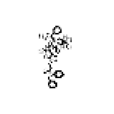 CCCC(NC(=O)[C@@H]1[C@@H]2[C@H](CN1C(=O)[C@@H](C)C1CCCCC1)C2(Cl)Cl)C(=O)C(=O)NCCC(=O)N(Cc1ccccc1)c1ccccc1